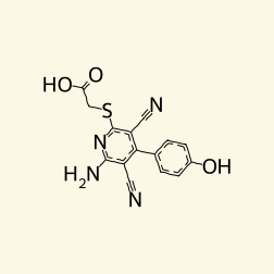 N#Cc1c(N)nc(SCC(=O)O)c(C#N)c1-c1ccc(O)cc1